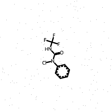 O=C(NC(F)(F)F)N(Cl)c1ccccc1